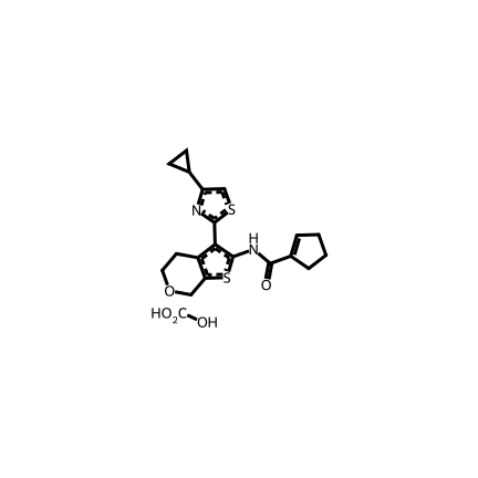 O=C(Nc1sc2c(c1-c1nc(C3CC3)cs1)CCOC2)C1=CCCC1.O=C(O)O